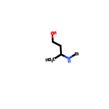 CCNC(CCO)C(=O)O